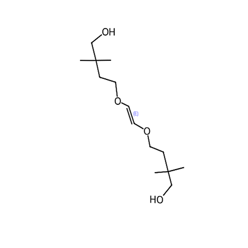 CC(C)(CO)CCO/C=C/OCCC(C)(C)CO